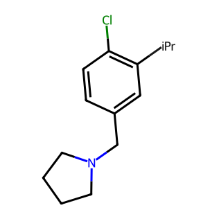 CC(C)c1cc(CN2CCCC2)ccc1Cl